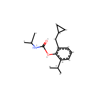 CC(C)NC(=O)Oc1c(CC2CC2)cccc1C(C)C